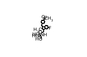 CC1=C(CC(=O)NC(CO)(CO)CO)c2cc(F)ccc2/C1=C\c1ccc([S+](C)[O-])cc1